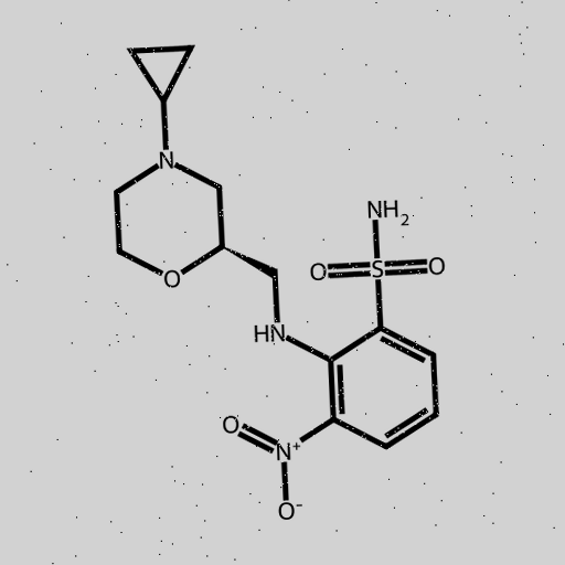 NS(=O)(=O)c1cccc([N+](=O)[O-])c1NC[C@@H]1CN(C2CC2)CCO1